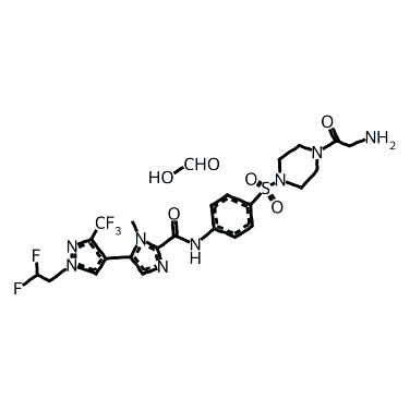 Cn1c(-c2cn(CC(F)F)nc2C(F)(F)F)cnc1C(=O)Nc1ccc(S(=O)(=O)N2CCN(C(=O)CN)CC2)cc1.O=CO